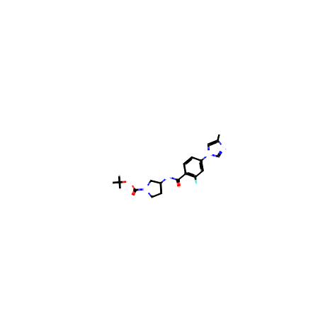 Cc1cn(-c2ccc(C(=O)NC3CCN(C(=O)OC(C)(C)C)C3)c(F)c2)cn1